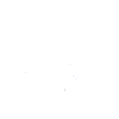 C=CC1(Cc2ccccc2)C(CO)CCCN1C